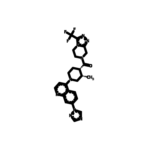 C[C@@H]1CN(c2ccnc3cc(-n4cncn4)ccc23)CC[C@@H]1C(=O)N1CCn2c(nnc2C(F)(F)F)C1